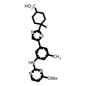 COc1ccnc(Nc2cc(C)cc(-c3cnc(C4(F)CCC(C(=O)O)CC4)s3)c2)n1